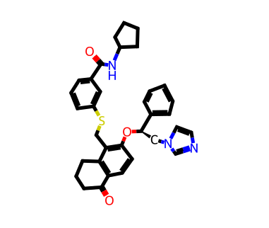 O=C(NC1CCCC1)c1cccc(SCc2c(O[C@H](Cn3ccnc3)c3ccccc3)ccc3c2CCCC3=O)c1